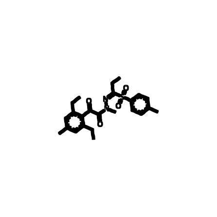 CCC(=NN(C)C(=O)C(=O)c1c(CC)cc(C)cc1CC)S(=O)(=O)c1ccc(C)cc1